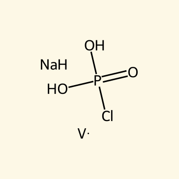 O=P(O)(O)Cl.[NaH].[V]